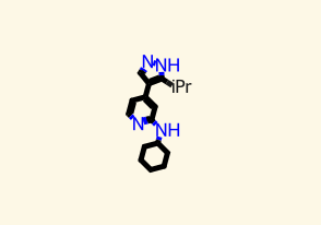 CC(C)c1[nH]ncc1-c1ccnc(NC2CCCCC2)c1